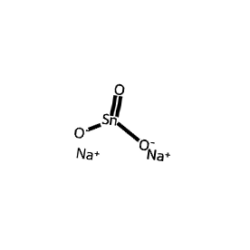 [Na+].[Na+].[O]=[Sn]([O-])[O-]